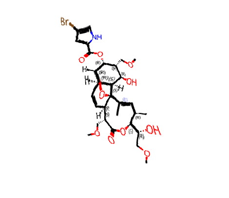 COC[C@@H]1[C@@H](O)[C@@H]2[C@H]3C=C[C@@H]4[C@@H](COC)C(=O)O[C@H]([C@H](O)COC)[C@H](C)/C=C(\C)[C@@]24O[C@H]3[C@@H]1OC(=O)c1cc(Br)c[nH]1